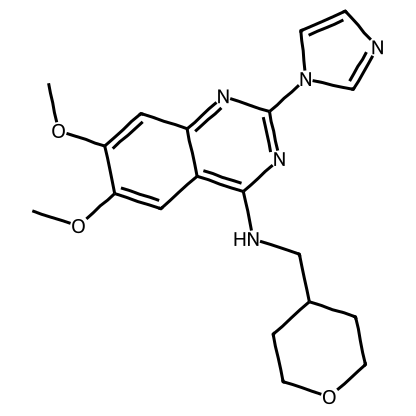 COc1cc2nc(-n3ccnc3)nc(NCC3CCOCC3)c2cc1OC